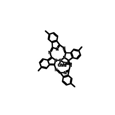 CO[Si]1(OC)n2c3c4cc(C)ccc4c2/N=C2N=C(/N=c4/c5cc(C)ccc5/c(n41)=N/C1=NC(=N\3)/c3ccc(C)cc31)c1ccc(C)cc1\2